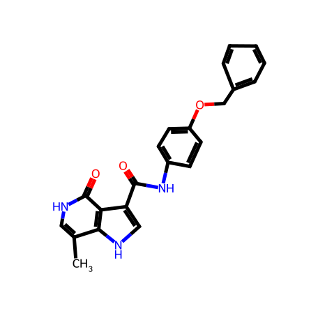 Cc1c[nH]c(=O)c2c(C(=O)Nc3ccc(OCc4ccccc4)cc3)c[nH]c12